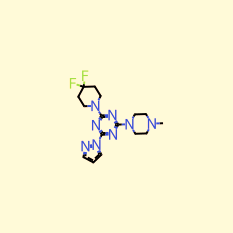 CN1CCN(c2nc(N3CCC(F)(F)CC3)nc(-n3cccn3)n2)CC1